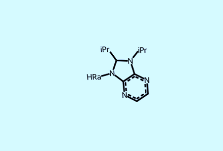 CC(C)C1[N]([RaH])c2nccnc2N1C(C)C